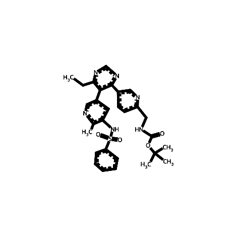 CCc1ncnc(-c2ccc(CNC(=O)OC(C)(C)C)nc2)c1-c1cnc(C)c(NS(=O)(=O)c2ccccc2)c1